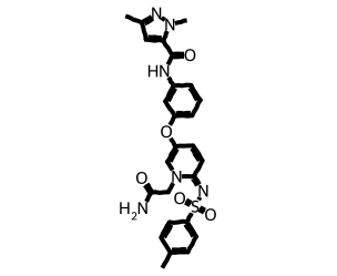 Cc1ccc(S(=O)(=O)N=c2ccc(Oc3cccc(NC(=O)c4cc(C)nn4C)c3)cn2CC(N)=O)cc1